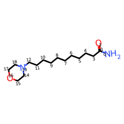 NC(=O)CCCCCCCCCCN1CCOCC1